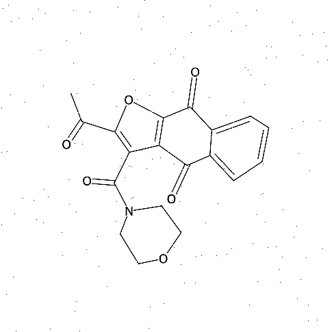 CC(=O)c1oc2c(c1C(=O)N1CCOCC1)C(=O)c1ccccc1C2=O